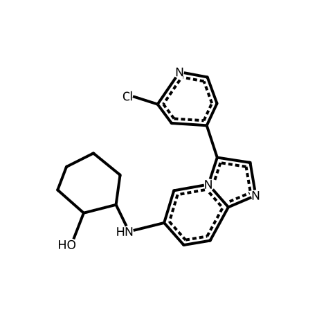 OC1CCCCC1Nc1ccc2ncc(-c3ccnc(Cl)c3)n2c1